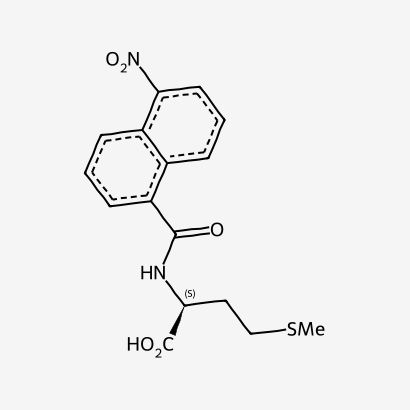 CSCC[C@H](NC(=O)c1cccc2c([N+](=O)[O-])cccc12)C(=O)O